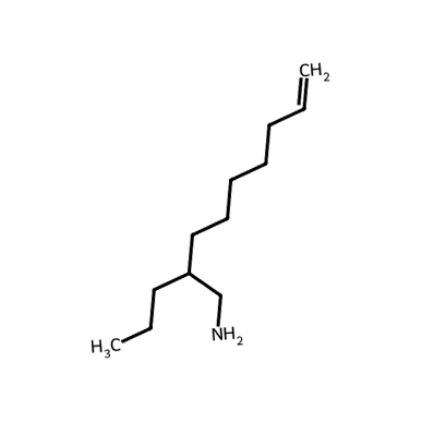 C=CCCCCCC(CN)CCC